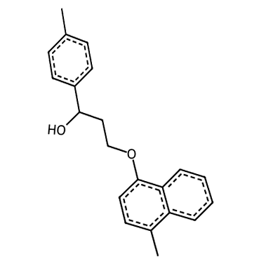 Cc1ccc(C(O)CCOc2ccc(C)c3ccccc23)cc1